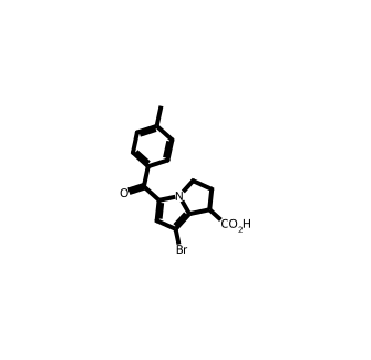 Cc1ccc(C(=O)c2cc(Br)c3n2CCC3C(=O)O)cc1